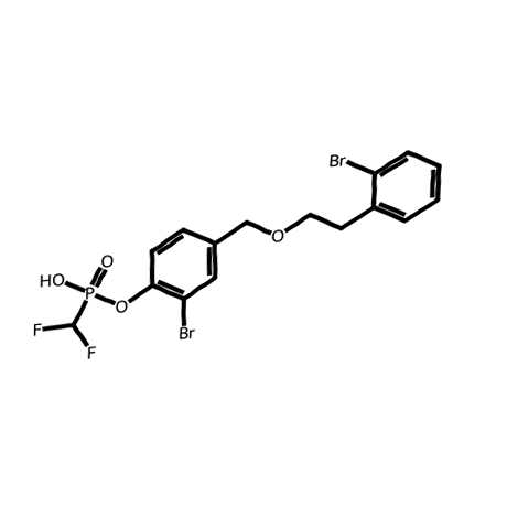 O=P(O)(Oc1ccc(COCCc2ccccc2Br)cc1Br)C(F)F